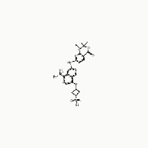 CC[C@H](N)c1cnc(O[C@H]2C[C@@H](S(=O)(=O)CC)C2)c2cnc(Nc3ccc4c(n3)[C@@H](C)C(C)(C)OC4=O)cc12